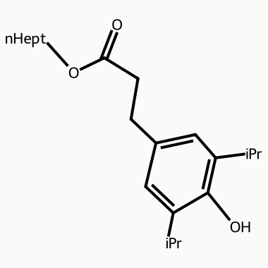 CCCCCCCOC(=O)CCc1cc(C(C)C)c(O)c(C(C)C)c1